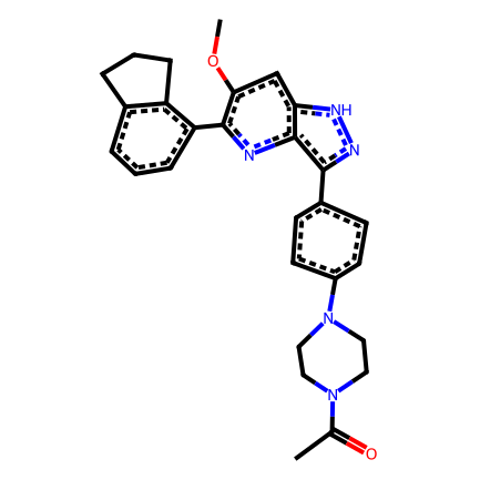 COc1cc2[nH]nc(-c3ccc(N4CCN(C(C)=O)CC4)cc3)c2nc1-c1cccc2c1CCC2